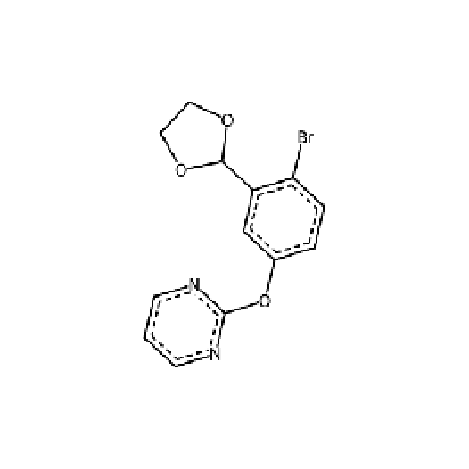 Brc1ccc(Oc2ncccn2)cc1C1OCCO1